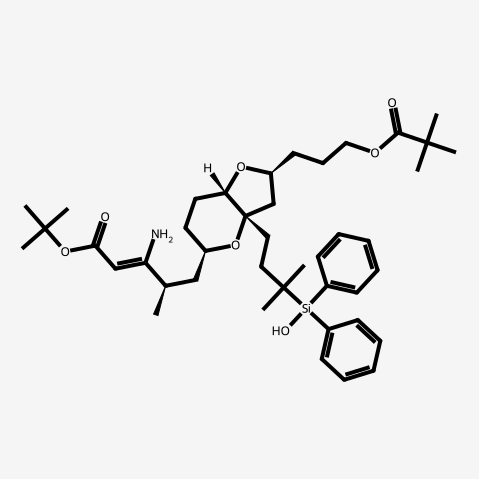 C[C@H](C[C@H]1CC[C@@H]2O[C@@H](CCCOC(=O)C(C)(C)C)C[C@]2(CCC(C)(C)[Si](O)(c2ccccc2)c2ccccc2)O1)/C(N)=C/C(=O)OC(C)(C)C